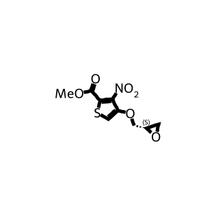 COC(=O)c1scc(OC[C@@H]2CO2)c1[N+](=O)[O-]